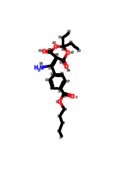 CCCCCOC(=O)c1ccc(C(N)=C2C(=O)OC(CC)(CC)OC2=O)cc1